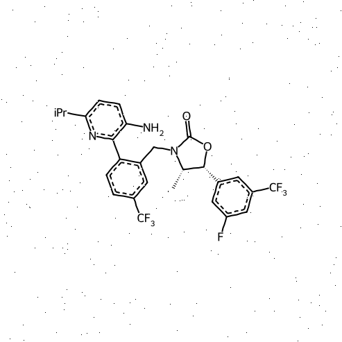 CC(C)c1ccc(N)c(-c2ccc(C(F)(F)F)cc2CN2C(=O)O[C@H](c3cc(F)cc(C(F)(F)F)c3)[C@@H]2C)n1